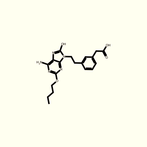 CCCCOc1nc(N)c2nc(O)n(CCc3cccc(CC(=O)O)c3)c2n1